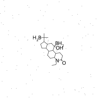 BC(C)(C)C1CCC2C3CCC4N(CC)C(=O)CC[C@]4(C)C3[C@@](B)(O)C[C@@]21C